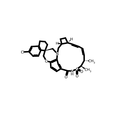 C[C@@H]1[C@@H](C)/C=C\C=C\[C@@H]2CC[C@H]2CN2C[C@@]3(CCCc4cc(Cl)ccc43)COc3ccc(cc32)C(=O)NS1(=O)=O